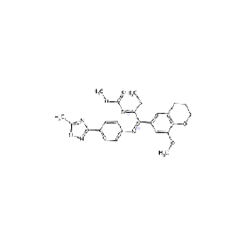 COC(=O)/N=C(SC)/C(=N\c1ccc(-c2noc(C)n2)cc1)c1cc2c(c(OC)c1)OCCC2